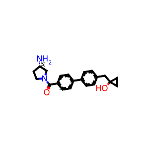 N[C@H]1CCN(C(=O)c2[c]cc(-c3ccc(CC4(O)CC4)cc3)cc2)C1